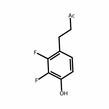 CC(=O)CCc1ccc(O)c(F)c1F